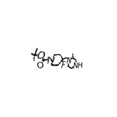 C[C@H]1CNCCN1CC1(F)CCN(C(=O)OC(C)(C)C)CC1